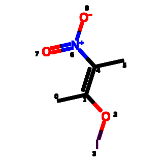 C/C(OI)=C(/C)[N+](=O)[O-]